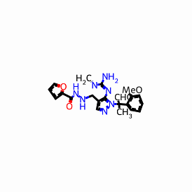 C=N/C(N)=N\c1c(CNNC(=O)c2ccco2)cnn1C(C)(C=O)c1ccccc1OC